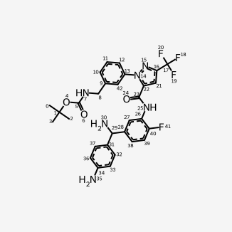 CC(C)(C)OC(=O)NCc1cccc(-n2nc(C(F)(F)F)cc2C(=O)Nc2cc(C(N)c3ccc(N)cc3)ccc2F)c1